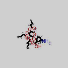 CCCC(=O)O[C@H]1[C@@H](OC(=O)CCC)COC(Oc2ccc(N)cc2C(=O)O)[C@@H]1OC(=O)CCC